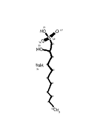 CCCCCCCCCC(O)CS(=O)(=O)O.[NaH]